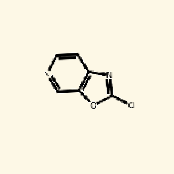 Clc1nc2ccncc2o1